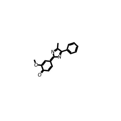 COC1=C/C(=C2\N=C(C)C(c3ccccc3)=N2)C=CC1=O